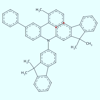 Cc1ccccc1-c1cc(-c2ccccc2)ccc1N(c1ccc2c(c1)C(C)(C)c1ccccc1-2)c1ccc2c(c1)C(C)(C)c1ccccc1-2